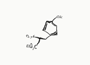 CCOC(=O)C(Cc1ccc(OC(C)=O)cc1)[N+](=O)[O-]